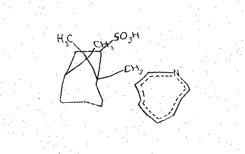 CC1(C)C2CCC1(C)C(S(=O)(=O)O)C2.c1ccncc1